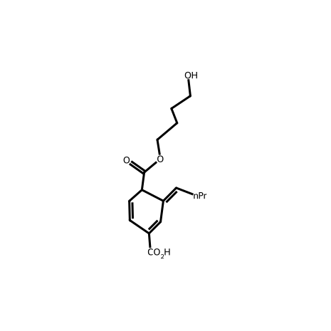 CCCC=C1C=C(C(=O)O)C=CC1C(=O)OCCCCO